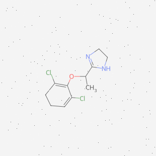 CC(OC1=C(Cl)CCC=C1Cl)C1=NCCN1